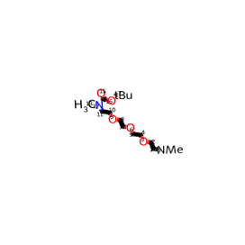 CNCCOCCOCCOCCN(C)C(=O)OC(C)(C)C